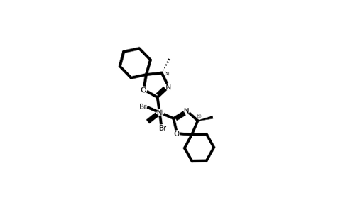 [CH2]=[Ni]([Br])([Br])([C]1=N[C@@H](C)C2(CCCCC2)O1)[C]1=N[C@@H](C)C2(CCCCC2)O1